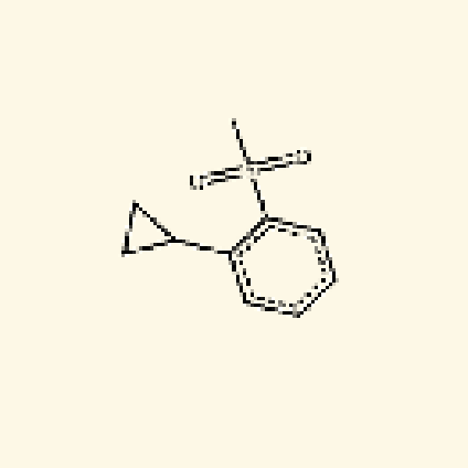 CS(=O)(=O)c1ccccc1[C]1CC1